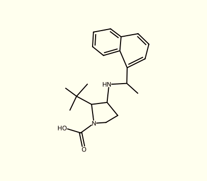 CC(NC1CCN(C(=O)O)C1C(C)(C)C)c1cccc2ccccc12